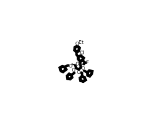 CCOc1ccc(Cc2cc3c(cc2Cl)C(F)C[C@]32O[C@H](COCc3ccccc3)[C@@H](OCc3ccccc3)[C@H](OCc3ccccc3)[C@H]2OCc2ccccc2)cc1